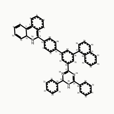 C1=CC2=c3ccccc3=C(c3ccc(-c4cc(C5=NC(c6ccccc6)NC(c6ccccc6)=N5)cc(-c5cccc6ccccc56)c4)cc3)NC2C=C1